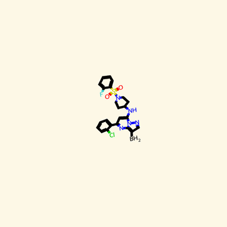 Bc1cnn2c(NC3CCN(S(=O)(=O)c4ccccc4F)CC3)cc(-c3ccccc3Cl)nc12